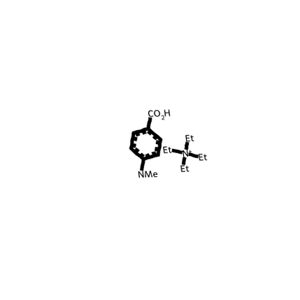 CC[N+](CC)(CC)CC.CNc1ccc(C(=O)O)cc1